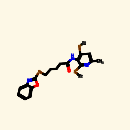 CCSc1cc(C)nc(SCC)c1NC(=O)CCCCSc1nc2ccccc2o1